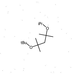 CC(C)OC(C)(C)CC(C)(C)OC(C)(C)C